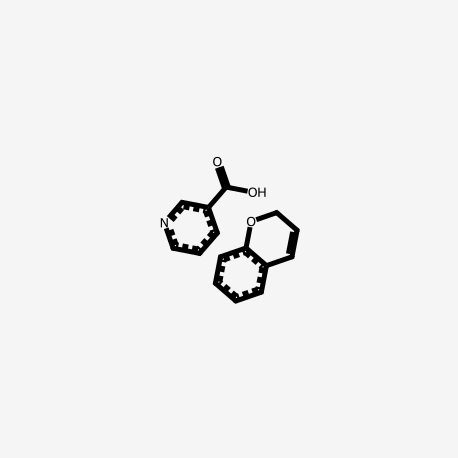 C1=Cc2ccccc2OC1.O=C(O)c1cccnc1